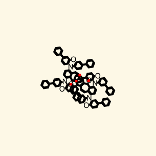 O=c1c2cc3ccc4c(N5c6cc(-c7ccccc7)ccc6Oc6ccc(-c7ccccc7)cc65)ccc(N5c6cc(-c7ccccc7)ccc6Oc6ccc(-c7ccccc7)cc65)c4c(=O)c3cc2ccc2c(N3c4ccc(-c5ccccc5)cc4Oc4cc(-c5ccccc5)ccc43)ccc(N3c4ccc(-c5ccccc5)cc4Oc4cc(-c5ccccc5)ccc43)c12